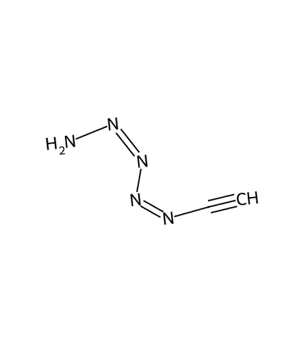 C#C/N=N\N=N/N